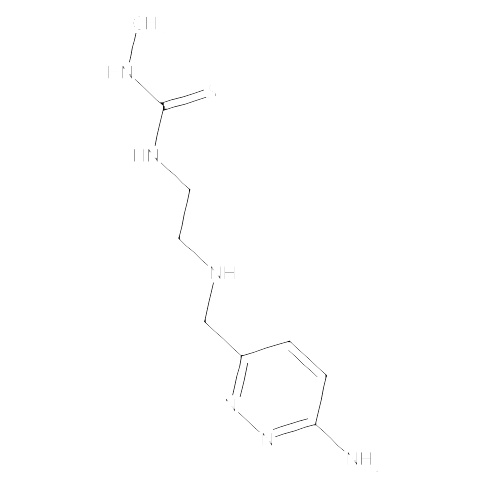 CNC(=S)NCCNCc1ccc(N)nn1